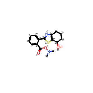 CN(C)OC(=O)c1ccccc1-c1nc2c(s1)C(O)CCC2